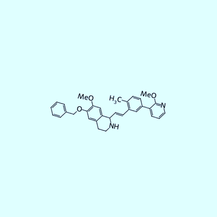 COc1cc2c(cc1OCc1ccccc1)CCNC2/C=C/c1cc(-c2cccnc2OC)ccc1C